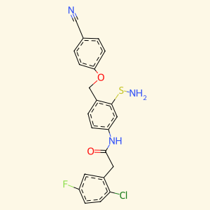 N#Cc1ccc(OCc2ccc(NC(=O)Cc3cc(F)ccc3Cl)cc2SN)cc1